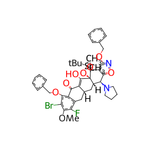 COc1c(F)c2c(c(OCc3ccccc3)c1Br)C(=O)C1=C(O)[C@]3(O[Si](C)(C)C(C)(C)C)C(=O)c4c(OCc5ccccc5)noc4[C@@H](N4CCCC4)[C@@H]3C[C@@H]1C2